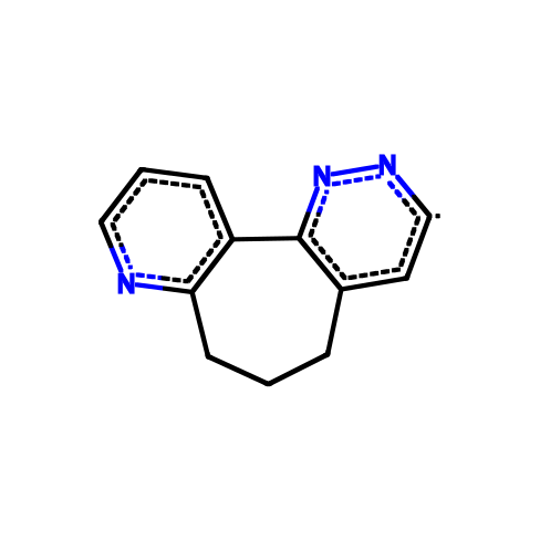 [c]1cc2c(nn1)-c1cccnc1CCC2